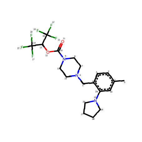 Cc1ccc(CN2CCN(C(=O)OC(C(F)(F)F)C(F)(F)F)CC2)c(N2CCCC2)c1